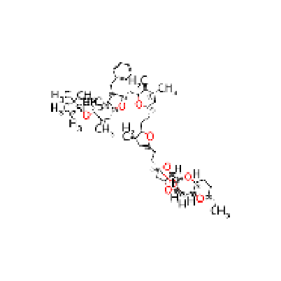 C=C1C[C@H](CC[C@@]23CC4O[C@H]5[C@@H](O2)[C@H]2O[C@@H](CC)CC[C@@H]2O[C@H]5[C@H]4O3)OC1CC[C@H]1C[C@@H](C)C(=C)C(C[C@@H]2O[C@H](C[C@H](C)CO[Si](C)(C)C(C)(C)C)[C@H](C)[C@H]2Cc2ccccc2)O1